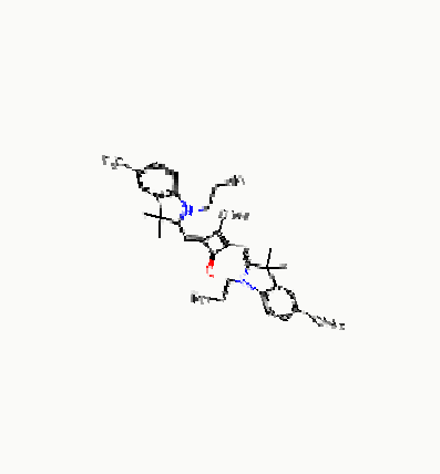 COC1=C(/C=C2\N(CCC(C)C)c3ccc(OC)cc3C2(C)C)C(=O)/C1=C/C1=[N+](CCC(C)C)c2ccc(C(F)(F)F)cc2C1(C)C